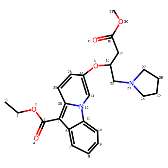 CCOC(=O)c1c2ccccc2n2cc(OC(CC(=O)OC)CN3CCCC3)ccc12